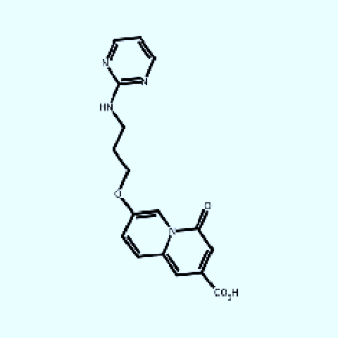 O=C(O)c1cc(=O)n2cc(OCCCNc3ncccn3)ccc2c1